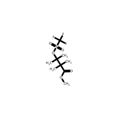 COC(=O)C(C)(C)C(C)(C)OS(=O)(=O)C(F)(F)F